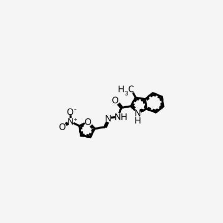 Cc1c(C(=O)NN=Cc2ccc([N+](=O)[O-])o2)[nH]c2ccccc12